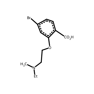 CCN(C)CCOc1cc(Br)ccc1C(=O)O